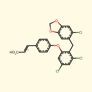 O=C(O)/C=C/c1ccc(Oc2cc(Cl)cc(Cl)c2Cc2cc3c(cc2Cl)OCO3)cc1